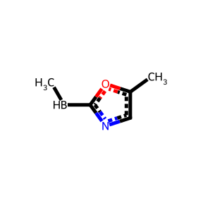 CBc1ncc(C)o1